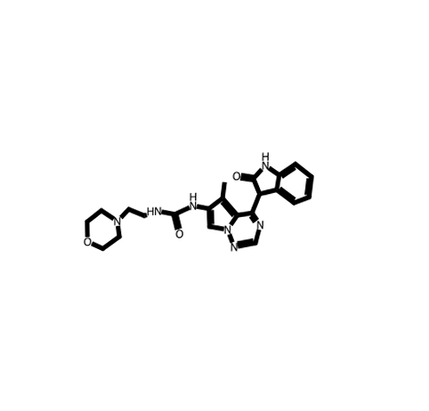 Cc1c(NC(=O)NCCN2CCOCC2)cn2ncnc(C3C(=O)Nc4ccccc43)c12